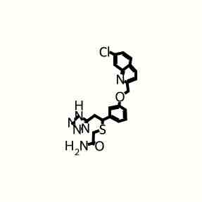 NC(=O)CSC(Cc1nnn[nH]1)c1cccc(OCc2ccc3ccc(Cl)cc3n2)c1